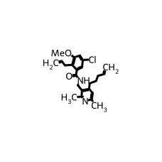 C=CCCCc1cc(C)nc(C)c1CNC(=O)c1cc(Cl)cc(OC)c1CC=C